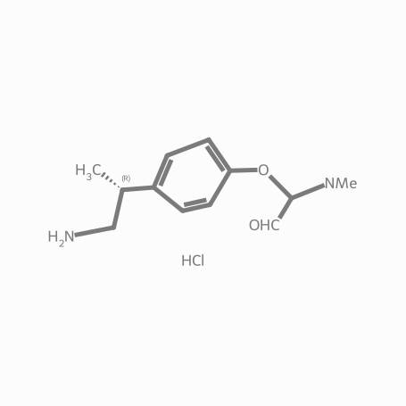 CNC(C=O)Oc1ccc([C@@H](C)CN)cc1.Cl